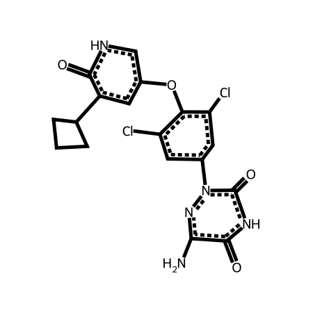 Nc1nn(-c2cc(Cl)c(Oc3c[nH]c(=O)c(C4CCC4)c3)c(Cl)c2)c(=O)[nH]c1=O